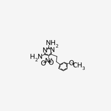 COc1cccc(CCc2nc(N)nc(N)c2[N+](=O)[O-])c1